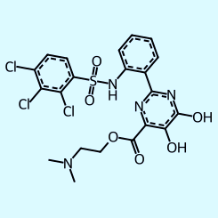 CN(C)CCOC(=O)c1nc(-c2ccccc2NS(=O)(=O)c2ccc(Cl)c(Cl)c2Cl)nc(O)c1O